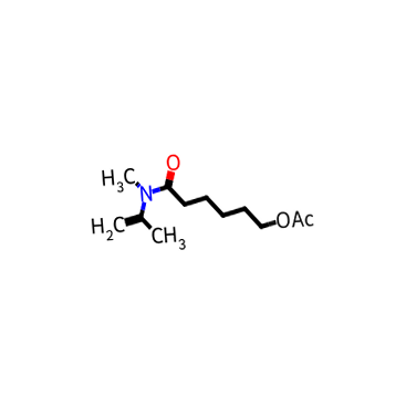 C=C(C)N(C)C(=O)CCCCCOC(C)=O